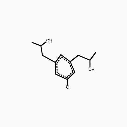 CC(O)Cc1cc(Cl)cc(CC(C)O)c1